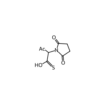 CC(=O)C(C(O)=S)N1C(=O)CCC1=O